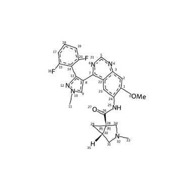 COc1cc2ncnc(-c3cn(C)nc3-c3c(F)cccc3F)c2cc1NC(=O)[C@]12C[C@H]1CN(C)C2